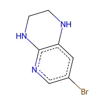 Brc1cnc2c(c1)NCCN2